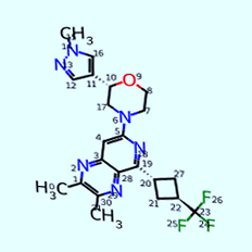 Cc1nc2cc(N3CCO[C@@H](c4cnn(C)c4)C3)nc([C@H]3C[C@H](C(F)(F)F)C3)c2nc1C